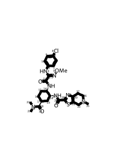 CON=C(Nc1ccc(Cl)cc1)C(=O)N[C@H]1CC[C@H](C(=O)N(C)C)C[C@H]1NC(=O)c1nc2c(s1)CN(C)CC2